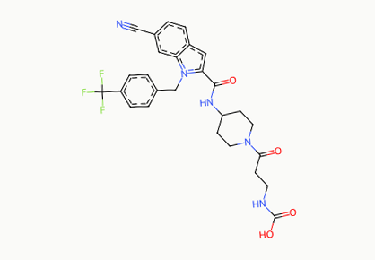 N#Cc1ccc2cc(C(=O)NC3CCN(C(=O)CCNC(=O)O)CC3)n(Cc3ccc(C(F)(F)F)cc3)c2c1